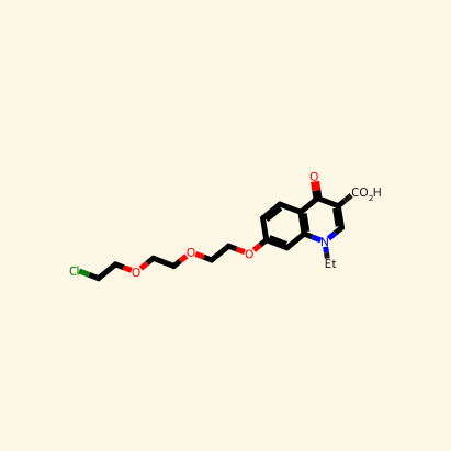 CCn1cc(C(=O)O)c(=O)c2ccc(OCCOCCOCCCl)cc21